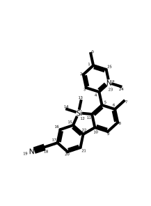 Cc1ccc(-c2c(C)ccc3c2[Si](C)(C)c2cc(C#N)ccc2-3)[n+](C)c1